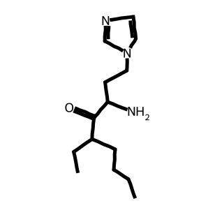 CCCCC(CC)C(=O)C(N)CCn1ccnc1